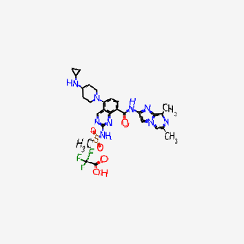 Cc1cn2cc(NC(=O)c3ccc(N4CCC(NC5CC5)CC4)c4cnc(NS(C)(=O)=O)nc34)nc2c(C)n1.O=C(O)C(F)(F)F